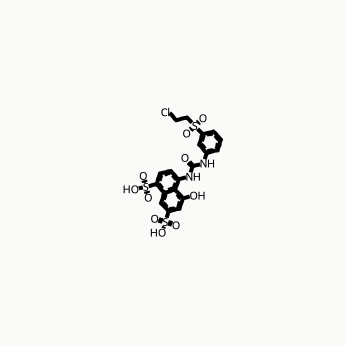 O=C(Nc1cccc(S(=O)(=O)CCCl)c1)Nc1ccc(S(=O)(=O)O)c2cc(S(=O)(=O)O)cc(O)c12